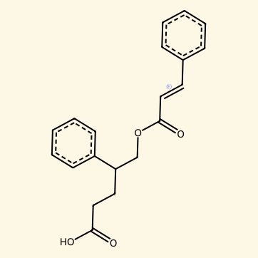 O=C(O)CCC(COC(=O)/C=C/c1ccccc1)c1ccccc1